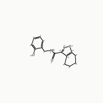 O=C(NCc1ccccc1Cl)c1noc2c1CCCC2